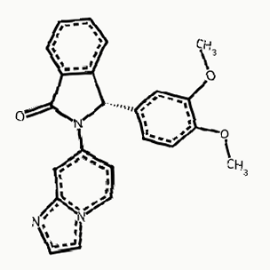 COc1ccc([C@H]2c3ccccc3C(=O)N2c2ccn3ccnc3c2)cc1OC